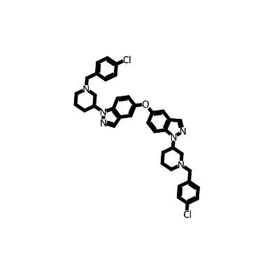 Clc1ccc(CN2CCCC(n3ncc4cc(Oc5ccc6c(cnn6C6CCCN(Cc7ccc(Cl)cc7)C6)c5)ccc43)C2)cc1